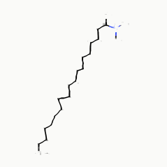 CCCCCCCCCCCCCCCCCCCCCCCCCCCC(CCC)N(CCCC)CCCC